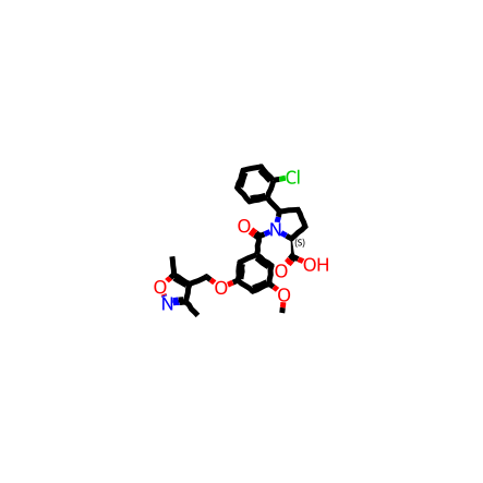 COc1cc(OCc2c(C)noc2C)cc(C(=O)N2C(c3ccccc3Cl)CC[C@H]2C(=O)O)c1